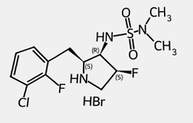 Br.CN(C)S(=O)(=O)N[C@@H]1[C@H](Cc2cccc(Cl)c2F)NC[C@@H]1F